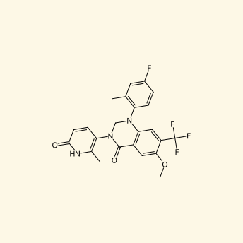 COc1cc2c(cc1C(F)(F)F)N(c1ccc(F)cc1C)CN(c1ccc(=O)[nH]c1C)C2=O